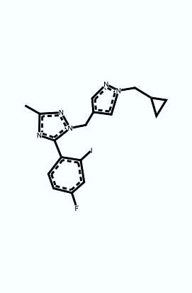 Cc1nc(-c2ccc(F)cc2I)n(Cc2cnn(CC3CC3)c2)n1